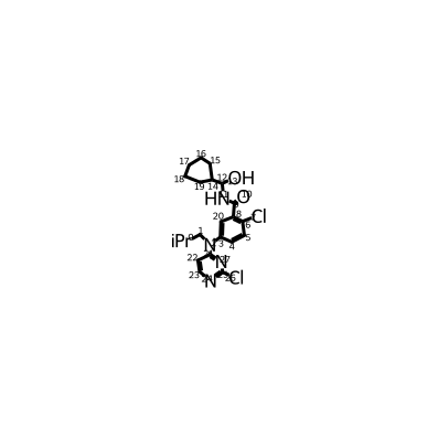 CC(C)CN(c1ccc(Cl)c(C(=O)NC(O)C2CCCCC2)c1)c1ccnc(Cl)n1